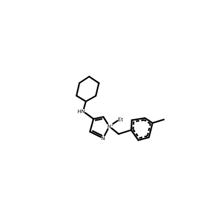 CC[N+]1(Cc2ccc(C)cc2)C=C(NC2CCCCC2)C=N1